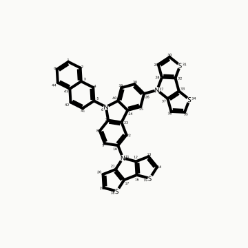 c1ccc2cc(-n3c4ccc(-n5c6ccsc6c6sccc65)cc4c4cc(-n5c6ccsc6c6sccc65)ccc43)ccc2c1